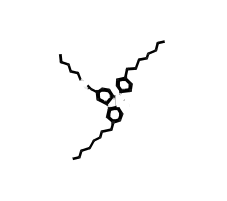 CCCCCCCCc1ccc(P(=S)(c2ccc(CCCCCCCC)cc2)c2ccc(CCCCCCCC)cc2)cc1